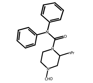 CCCC1CN(C=O)CCN1C(=O)N(c1ccccc1)c1ccccc1